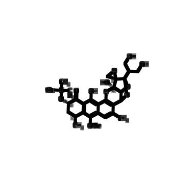 COc1c2c(c(O)c3c4c(c(C)cc13)C1OC3(C(CO)CO)OC1[C@@](O)(O4)[C@@]31CO1)C(=O)[C@@H](O[Si](C)(C)C(C)(C)C)C[C@@H]2C